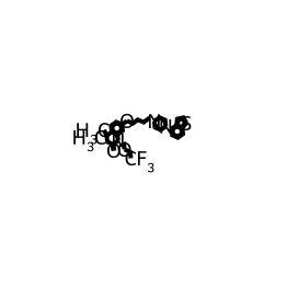 CC1(C)CC(=O)N(COCC(F)(F)F)c2cc(OCCCCN3CCN(c4cccc5sccc45)CC3)ccc21